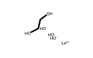 OCCO.[La+3].[OH-].[OH-].[OH-]